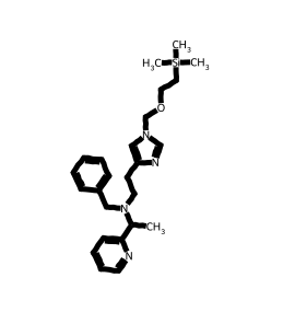 CC(c1ccccn1)N(CCc1cn(COCC[Si](C)(C)C)cn1)Cc1ccccc1